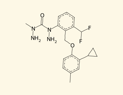 Cc1ccc(OCc2c(C(F)F)cccc2N(N)C(=O)N(C)N)c(C2CC2)c1